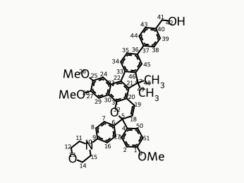 COc1ccc(C2(c3ccc(N4CCOCC4)cc3)C=Cc3c4c(c5cc(OC)c(OC)cc5c3O2)-c2ccc(-c3ccc(CO)cc3)cc2C4(C)C)cc1